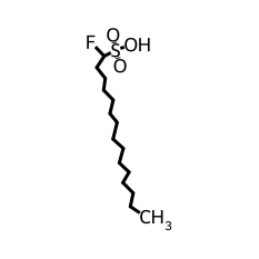 CCCCCCCCCCCCCCC(F)S(=O)(=O)O